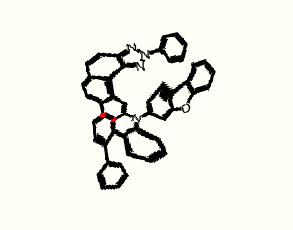 c1ccc(-c2ccccc2-c2ccccc2N(c2ccc3c(c2)oc2ccccc23)c2ccc3ccc4ccc5nn(-c6ccccc6)nc5c4c3c2)cc1